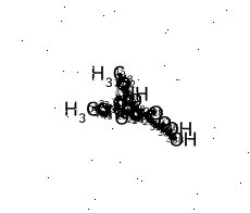 Cc1ccc(Nc2ccc(Nc3ccc(C)cc3)c3c2C(=O)c2ccc(N(C=O)CCCC(=O)CC(O)CO)cc2C3=O)cc1